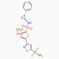 CC(F)(F)c1cc(-c2ccc(S(=O)(=O)N[C@H]3C[C@@H]3c3ccccc3)s2)ns1.O=C(O)O